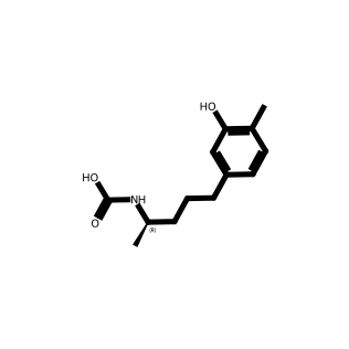 Cc1ccc(CCC[C@@H](C)NC(=O)O)cc1O